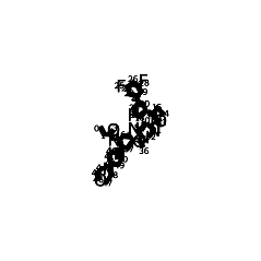 C=CC(=O)Nc1cc(Nc2cc(N3OCC[C@@H]3c3cccc(-c4cc(F)cc(F)c4)c3)ncn2)c(OC)cc1N1CCC(N2CCOCC2)CC1